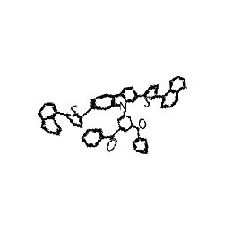 O=C(C1=CC(C(=O)c2ccccc2)CC(n2c3cc(-c4ccc(-c5cccc6ccccc56)s4)ccc3c3ccc(-c4ccc(-c5cccc6ccccc56)s4)cc32)=C1)c1ccccc1